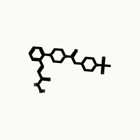 CS(=O)(=O)N1CCC(CC(=O)N2CCN(c3ccccc3C=CC(=O)NO)CC2)CC1